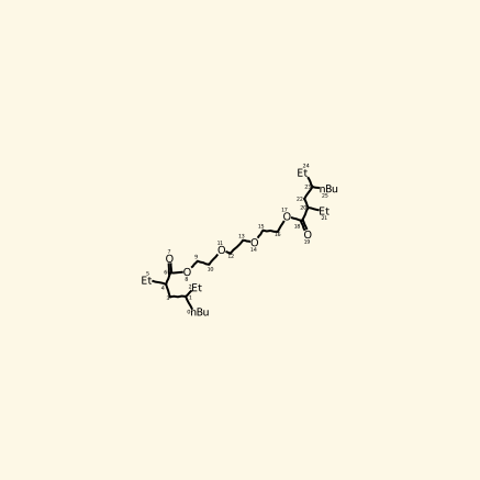 CCCCC(CC)CC(CC)C(=O)OCCOCCOCCOC(=O)C(CC)CC(CC)CCCC